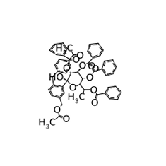 CC(=O)OCc1ccc(Cc2ccc(C(C)=O)cc2)c([C@@]2(O)O[C@H]([C@H](C)OC(=O)c3ccccc3)[C@@H](OC(=O)c3ccccc3)[C@H](OC(=O)c3ccccc3)[C@H]2OC(=O)c2ccccc2)c1